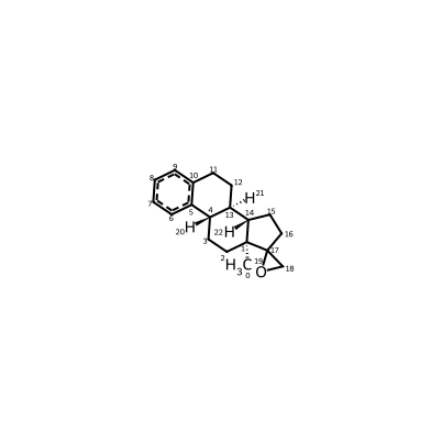 C[C@]12CC[C@@H]3c4ccccc4CC[C@H]3[C@@H]1CCC21CO1